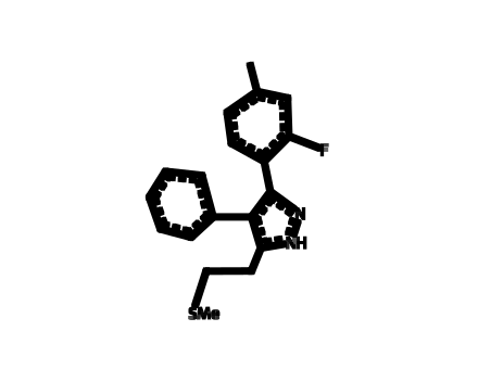 CSCCc1[nH]nc(-c2ccc(C)cc2F)c1-c1ccccc1